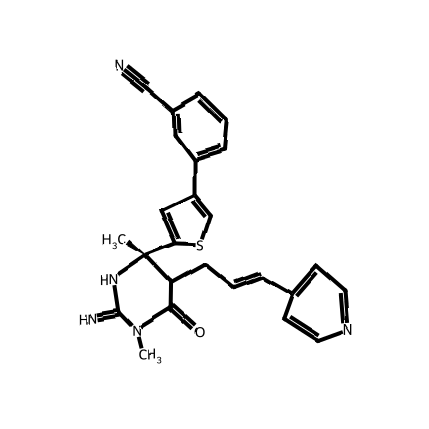 CN1C(=N)N[C@](C)(c2cc(-c3cccc(C#N)c3)cs2)C(C/C=C/c2ccncc2)C1=O